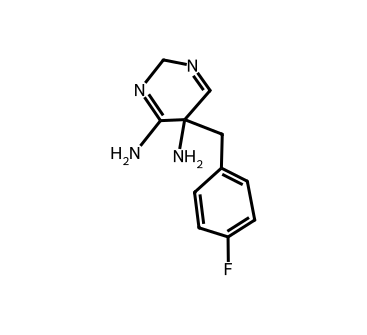 NC1=NCN=CC1(N)Cc1ccc(F)cc1